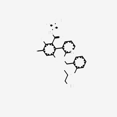 CCCC[C@H](Oc1ncccc1-c1c(C)cc(Cl)c(F)c1C(=O)NS(C)(=O)=O)c1ccccc1Cl